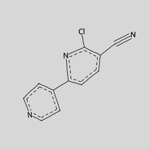 N#Cc1ccc(-c2ccncc2)nc1Cl